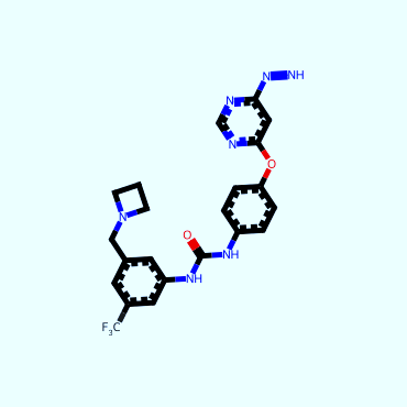 N=Nc1cc(Oc2ccc(NC(=O)Nc3cc(CN4CCC4)cc(C(F)(F)F)c3)cc2)ncn1